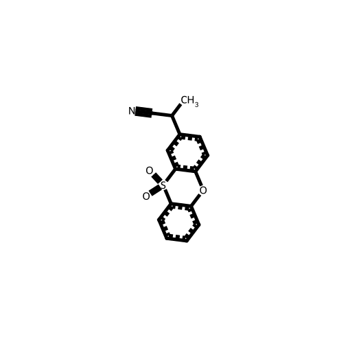 CC(C#N)c1ccc2c(c1)S(=O)(=O)c1ccccc1O2